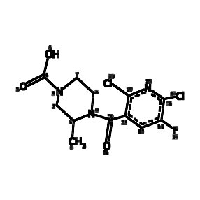 CC1CN(C(=O)O)CCN1C(=O)c1cc(F)c(Cl)nc1Cl